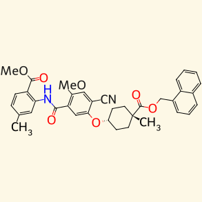 COC(=O)c1ccc(C)cc1NC(=O)c1cc(O[C@H]2CC[C@@](C)(C(=O)OCc3cccc4ccccc34)CC2)c(C#N)cc1OC